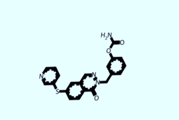 NC(=O)Oc1cccc(Cn2ncc3cc(Sc4cccnc4)ccc3c2=O)c1